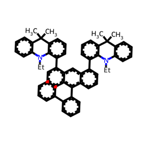 CCN1c2ccccc2C(C)(C)c2cccc(-c3cccc4c(-c5ccccc5-c5ccccc5)c5cccc(-c6cccc7c6N(CC)c6ccccc6C7(C)C)c5cc34)c21